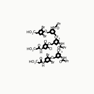 CC(C)C(=O)Nc1cc(COc2c(Br)cc(NC(=O)CC(=O)O)cc2Br)cc(C(F)(F)F)c1.CC(C)C(=O)Nc1cc(COc2c(Cl)cc(NC(=O)CC(=O)O)cc2Cl)cc(C(F)(F)F)c1.Cc1cc(COc2c(Br)cc(CC(=O)O)cc2Br)cc(NC(=O)C(C)C)c1